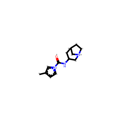 Cc1ccn(C(=O)NC2CC3CCN(C3)C2)c1